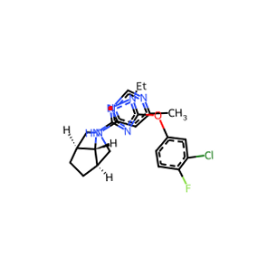 CCn1nc(N[C@@H]2[C@@H]3CC[C@H]2CN(c2cc(C)ncn2)C3)nc1Oc1ccc(F)c(Cl)c1